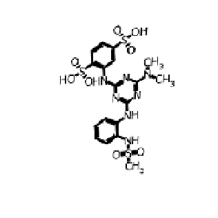 CN(C)c1nc(Nc2ccccc2NS(C)(=O)=O)nc(Nc2cc(S(=O)(=O)O)ccc2S(=O)(=O)O)n1